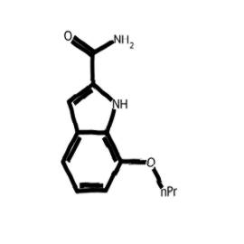 CCCOc1cccc2cc(C(N)=O)[nH]c12